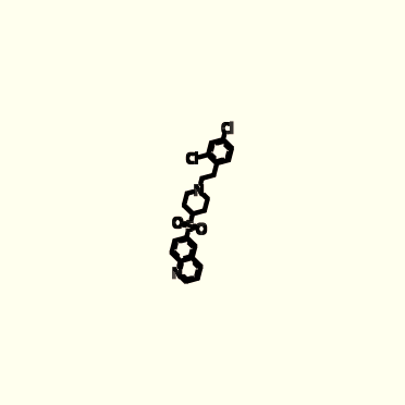 O=S(=O)(c1ccc2ncccc2c1)C1CCN(CCc2ccc(Cl)cc2Cl)CC1